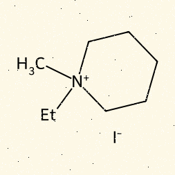 CC[N+]1(C)CCCCC1.[I-]